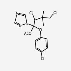 CC(=O)OC(Oc1ccc(Cl)cc1)(C(Cl)C(C)(C)CCl)n1cncn1